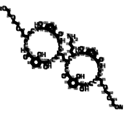 COCCOCCOCCN1CCNC(=O)c2cccc(c2O)C(=O)NCCN(CCN2CCC(=O)c3cccc(c3O)C(=O)NCCN(CCOCCOCCOC)CCNC(=O)c3cccc(c3O)C(=O)NC(CCCCN)C2)CCNC(=O)c2cccc(c2O)C(=O)NCC1